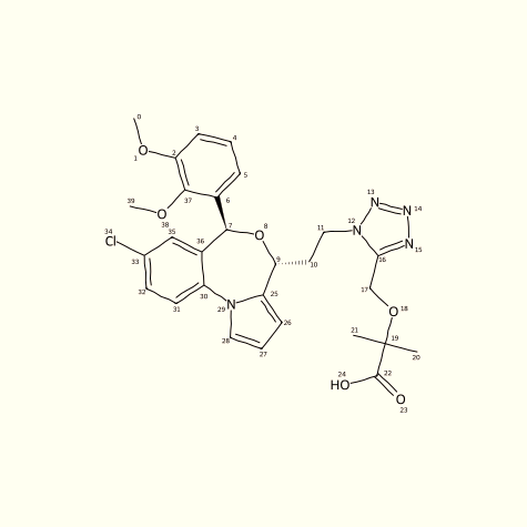 COc1cccc([C@H]2O[C@H](CCn3nnnc3COC(C)(C)C(=O)O)c3cccn3-c3ccc(Cl)cc32)c1OC